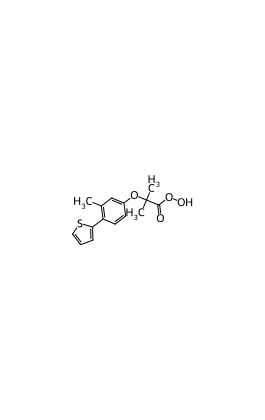 Cc1cc(OC(C)(C)C(=O)OO)ccc1-c1cccs1